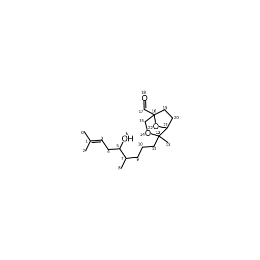 CC(C)=CCC(O)C(C)CCCC1(C)OCC2(C=O)CCC1O2